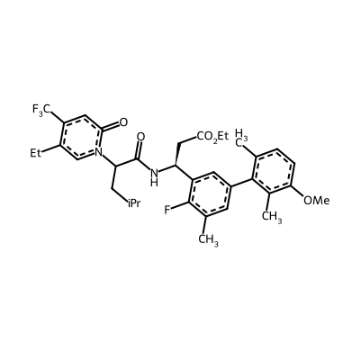 CCOC(=O)C[C@H](NC(=O)C(CC(C)C)n1cc(CC)c(C(F)(F)F)cc1=O)c1cc(-c2c(C)ccc(OC)c2C)cc(C)c1F